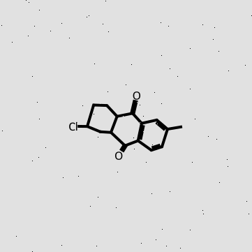 Cc1ccc2c(c1)C(=O)C1CCC(Cl)CC1C2=O